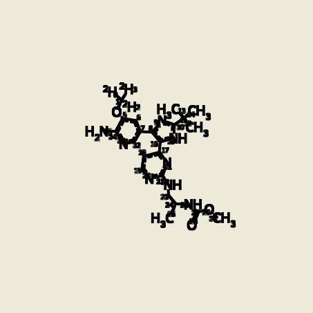 [2H]C([2H])([2H])Oc1cc(-c2nc(C(C)(C)C)[nH]c2-c2ccnc(NC[C@H](C)NC(=O)OC)n2)cnc1N